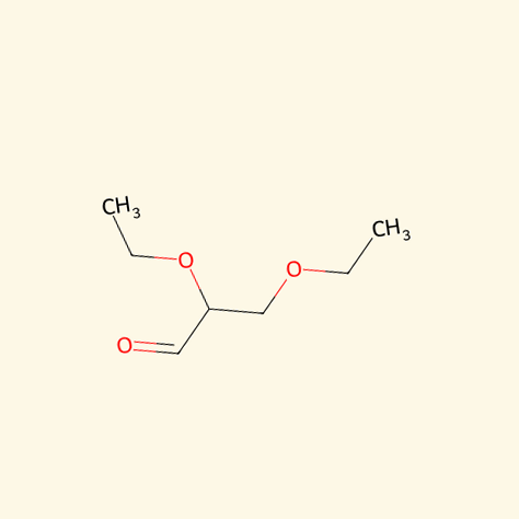 CCOCC(C=O)OCC